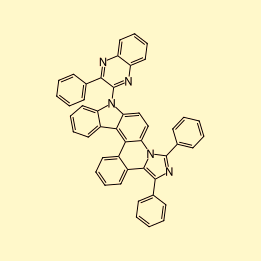 c1ccc(-c2nc3ccccc3nc2-n2c3ccccc3c3c4c5ccccc5c5c(-c6ccccc6)nc(-c6ccccc6)n5c4ccc32)cc1